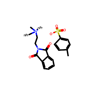 CCC[N+](C)(CCC)CCN1C(=O)c2ccccc2C1=O.Cc1ccc(S(=O)(=O)[O-])cc1